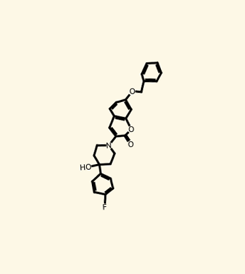 O=c1oc2cc(OCc3ccccc3)ccc2cc1N1CCC(O)(c2ccc(F)cc2)CC1